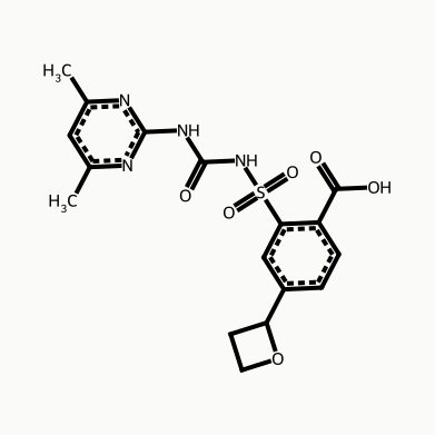 Cc1cc(C)nc(NC(=O)NS(=O)(=O)c2cc(C3CCO3)ccc2C(=O)O)n1